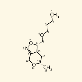 CCCCOC[C@H]1ON=C2CO[C@@H](C)CC21